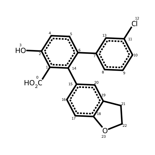 O=C(O)c1c(O)ccc(-c2cccc(Cl)c2)c1-c1ccc2c(c1)CCO2